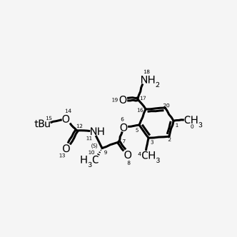 Cc1cc(C)c(OC(=O)[C@H](C)NC(=O)OC(C)(C)C)c(C(N)=O)c1